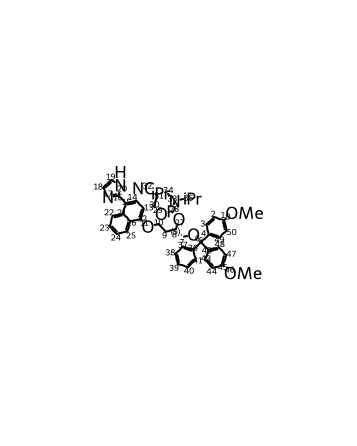 COc1ccc(C(OC[C@H](CCOc2ccc(-c3ncc[nH]3)c3ccccc23)OP(OCCC#N)N(C(C)C)C(C)C)(c2ccccc2)c2ccc(OC)cc2)cc1